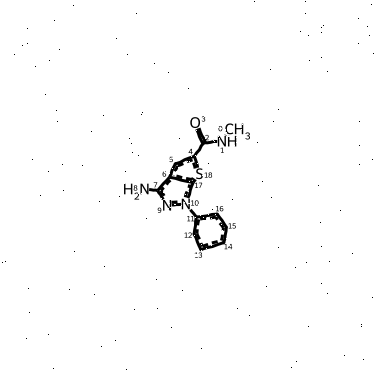 CNC(=O)c1cc2c(N)nn(-c3ccccc3)c2s1